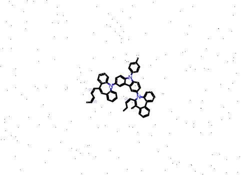 C/C=C\C=C/C1=Cc2ccccc2N(c2ccc3c(c2)c2cc(N4C(/C=C\CC)=C(C)c5ccccc5-c5ccccc54)ccc2n3-c2ccc(C)cc2)c2ccccc21